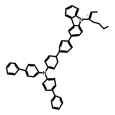 C/C=C(\CCCC)n1c2ccccc2c2cc(-c3ccc(C4C=CC(N(c5ccc(-c6ccccc6)cc5)c5ccc(-c6ccccc6)cc5)=CC4)cc3)ccc21